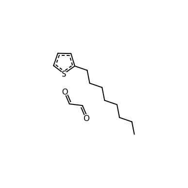 CCCCCCCCc1cccs1.O=CC=O